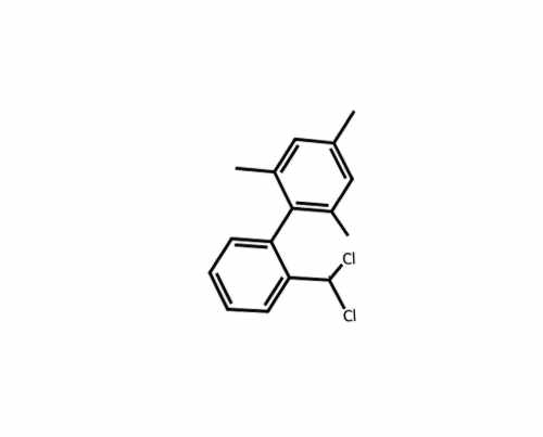 Cc1cc(C)c(-c2ccccc2[C](Cl)Cl)c(C)c1